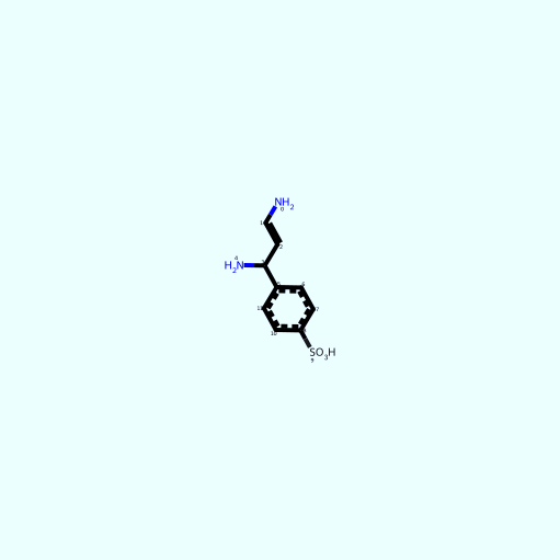 NC=CC(N)c1ccc(S(=O)(=O)O)cc1